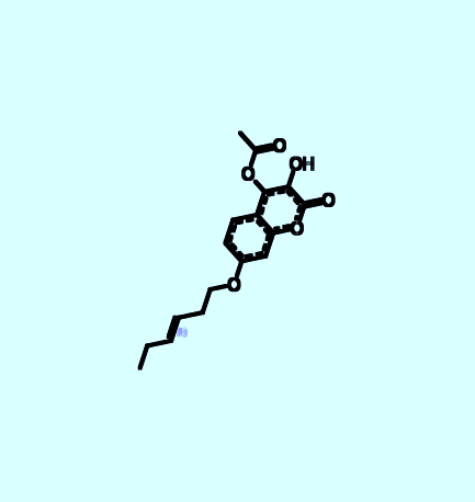 CC/C=C/CCOc1ccc2c(OC(C)=O)c(O)c(=O)oc2c1